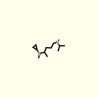 CC(C)N(C)CCCC(C)N(C)C1CC1